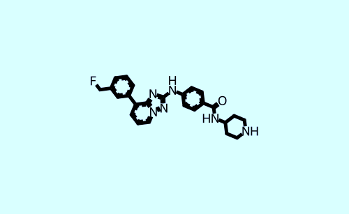 O=C(NC1CCNCC1)c1ccc(Nc2nc3c(-c4cccc(CF)c4)cccn3n2)cc1